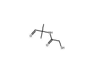 CC(C)(C=O)NC(=O)CS